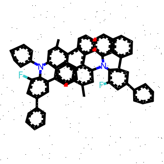 Cc1cc(N(c2ccccc2)c2c(F)cc(-c3ccccc3)cc2-c2ccccc2)c2c3ccccc3c3c(C)cc(N(c4ccccc4)c4c(F)cc(-c5ccccc5)cc4-c4ccccc4)c4ccc1c2c43